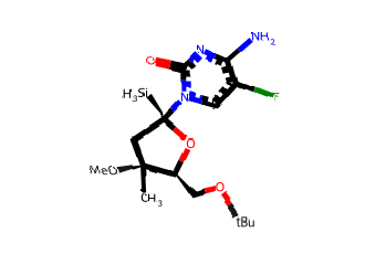 CO[C@@]1(C)C[C@]([SiH3])(n2cc(F)c(N)nc2=O)O[C@H]1COC(C)(C)C